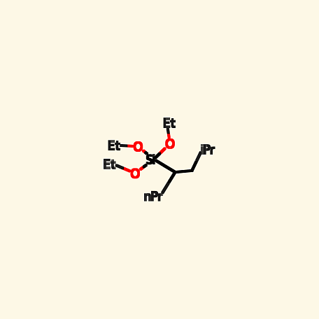 CCCC(CC(C)C)[Si](OCC)(OCC)OCC